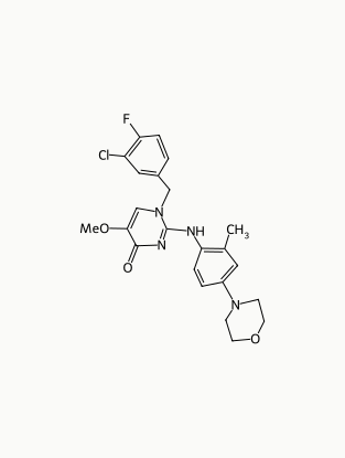 COc1cn(Cc2ccc(F)c(Cl)c2)c(Nc2ccc(N3CCOCC3)cc2C)nc1=O